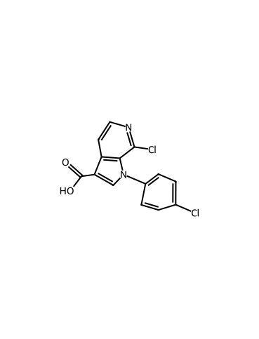 O=C(O)c1cn(-c2ccc(Cl)cc2)c2c(Cl)nccc12